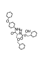 O=C(Nc1ccc(Oc2ccccc2)cc1)C(COCc1ccccc1)NC(=O)[C@H](O)Cc1ccccc1